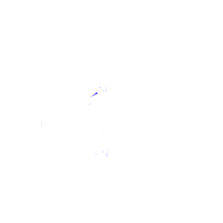 CCOC(C(=O)Nc1ccc(C)cc1)[C@H](N)CC1CCCCC1